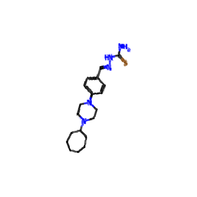 NC(=S)NN=Cc1ccc(N2CCN(C3CCCCCC3)CC2)cc1